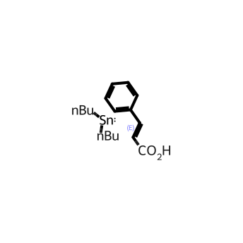 CCC[CH2][Sn][CH2]CCC.O=C(O)/C=C/c1ccccc1